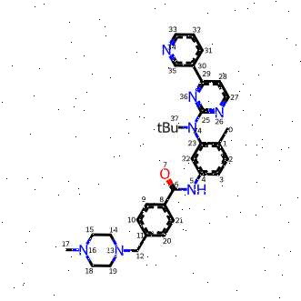 Cc1ccc(NC(=O)c2ccc(CN3CCN(C)CC3)cc2)cc1N(c1nccc(-c2cccnc2)n1)C(C)(C)C